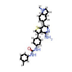 Cc1cccc(NC(=O)Nc2ccc(-c3csc4c(-c5ccc6c(ccn6C)c5)cnc(N)c34)cc2)c1